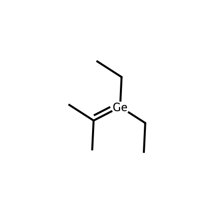 C[CH2][Ge]([CH2]C)=[C](C)C